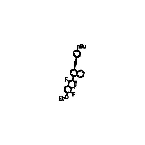 CCCCc1ccc(C#Cc2ccc(/C(F)=C(\F)c3ccc(OCC)c(F)c3F)c3ccccc23)cc1